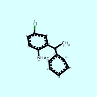 CC(=O)Nc1ccc(Cl)cc1C(C)c1ccccc1